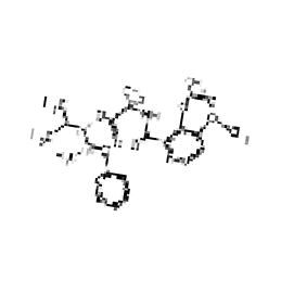 COc1ccnc(C(=O)N[C@@H](C)C(=O)O[C@@H](C(C)C)[C@@H](C)Oc2ccccc2)c1OC(C)=O